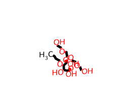 CCCCOC(C(=O)O)C(O)C(=O)O.OCCOCCOCCOCCO